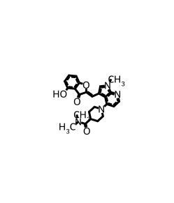 CN(C)C(=O)C1CCN(c2ccnc3c2c(C=C2Oc4cccc(O)c4C2=O)cn3C)CC1